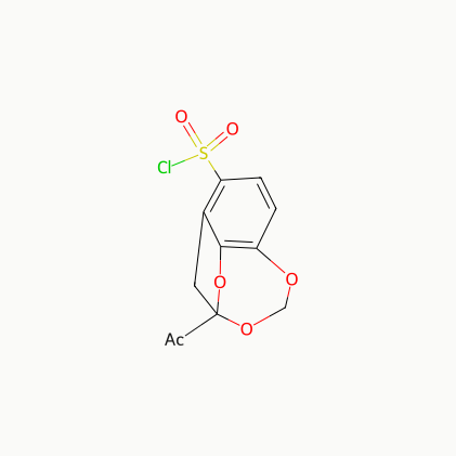 CC(=O)C12Cc3c(S(=O)(=O)Cl)ccc(c3O1)OCO2